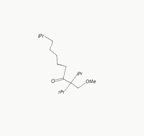 CCCC(COC)(C(=O)CCCCCC(C)C)C(C)C